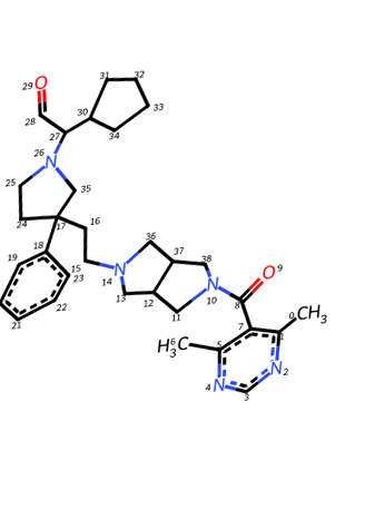 Cc1ncnc(C)c1C(=O)N1CC2CN(CCC3(c4ccccc4)CCN(C(C=O)C4CCCC4)C3)CC2C1